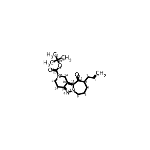 C=CCC1CCCn2nc3c(c2C1=O)CN(C(=O)OC(C)(C)C)CC3